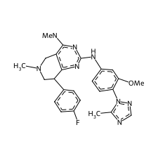 CNc1nc(Nc2ccc(-n3ncnc3C)c(OC)c2)nc2c1CN(C)CC2c1ccc(F)cc1